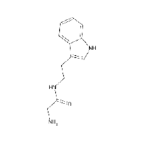 NCC(=O)NCCc1c[nH]c2ccccc12